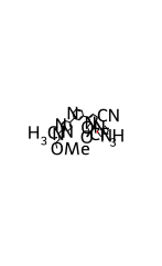 COCCN(C)c1ncc(-c2cc(-c3cc(C#N)c(N4CCNCC4)n3OC(=O)C(F)(F)F)ccn2)cn1